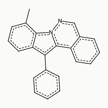 Cc1cccc2c(-c3ccccc3)c3c4ccccc4cnn3c12